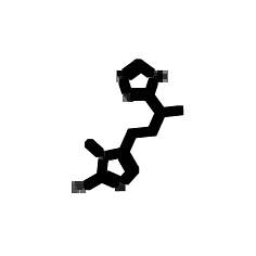 CC(C)c1ncc(CCC(C)c2nnc[nH]2)n1C